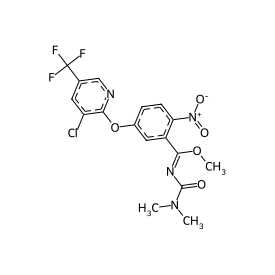 COC(=NC(=O)N(C)C)c1cc(Oc2ncc(C(F)(F)F)cc2Cl)ccc1[N+](=O)[O-]